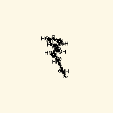 CCCCNC(=O)CCCCCNC(=O)CCc1ccc(O)c(CN(CCN(CC(=O)O)Cc2cc(CCC(=O)NCC(=O)O)ccc2O)CC(=O)O)c1